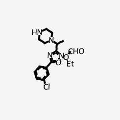 CC(c1noc(-c2cccc(Cl)c2)n1)N1CCNCC1.CCOC=O